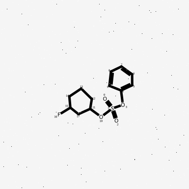 O=S(=O)(Oc1ccccc1)OC1CCCC(F)C1